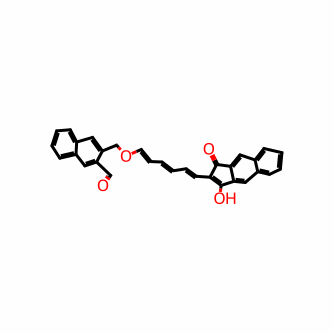 O=Cc1cc2ccccc2cc1CO/C=C/C=C/C=C/C1=C(O)c2cc3ccccc3cc2C1=O